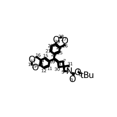 CC(C)(C)OC(=O)N1CC2(CC(=C(c3ccc4c(c3)COCO4)c3ccc4c(c3)COCO4)C2)C1